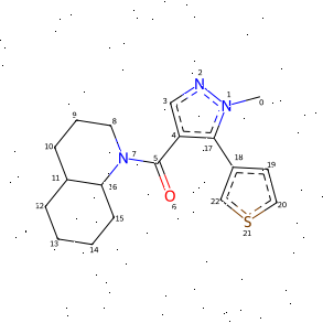 Cn1ncc(C(=O)N2CCCC3CCCCC32)c1-c1ccsc1